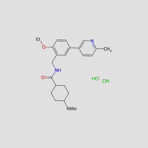 CCOc1ccc(-c2ccc(C)nc2)cc1CNC(=O)C1CCC(NC)CC1.Cl.Cl